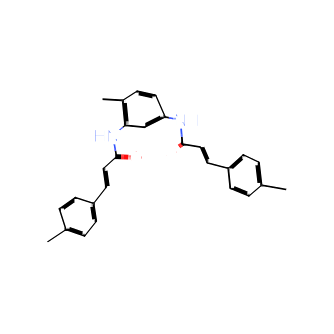 Cc1ccc(/C=C/C(=O)Nc2ccc(C)c(NC(=O)/C=C/c3ccc(C)cc3)c2)cc1